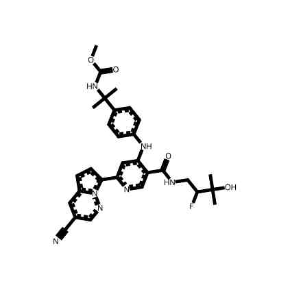 COC(=O)NC(C)(C)c1ccc(Nc2cc(-c3ccc4cc(C#N)cnn34)ncc2C(=O)NCC(F)C(C)(C)O)cc1